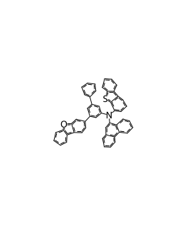 c1ccc(-c2cc(-c3ccc4c(c3)oc3ccccc34)cc(N(c3cc4ccccc4c4ccccc34)c3cccc4c3sc3ccccc34)c2)cc1